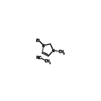 CC#N.CCN1C=CN(C)C1